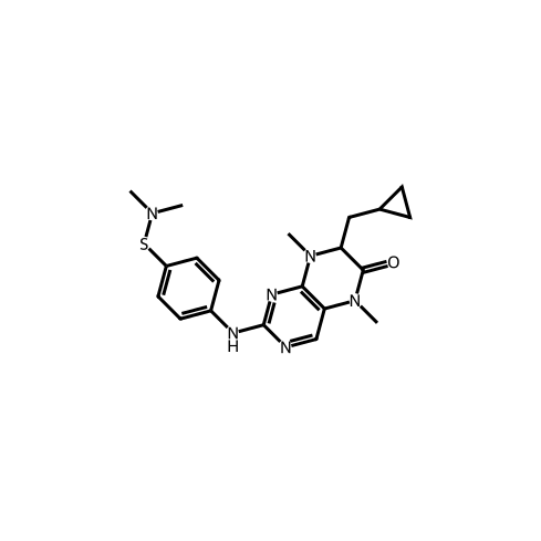 CN(C)Sc1ccc(Nc2ncc3c(n2)N(C)C(CC2CC2)C(=O)N3C)cc1